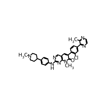 Cc1nccnc1-c1ccc(-c2cc3cnc(Nc4ccc(C5CCN(C)CC5)cc4)nc3n(C)c2=O)c(Cl)c1